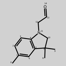 Cc1ccc2c(c1)C(C)(C)CN2CC=O